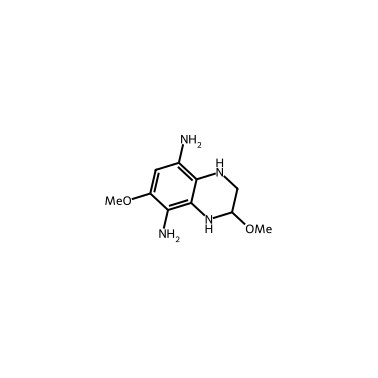 COc1cc(N)c2c(c1N)NC(OC)CN2